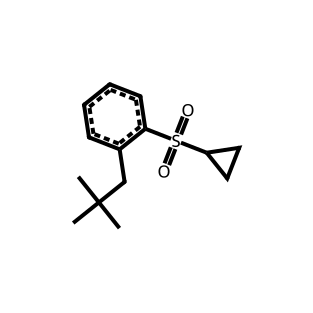 CC(C)(C)Cc1ccccc1S(=O)(=O)C1CC1